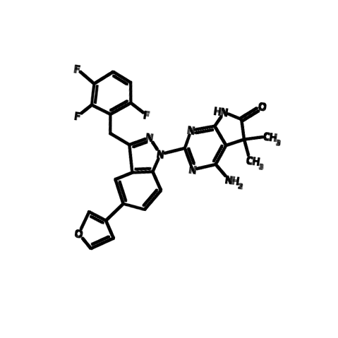 CC1(C)C(=O)Nc2nc(-n3nc(Cc4c(F)ccc(F)c4F)c4cc(-c5ccoc5)ccc43)nc(N)c21